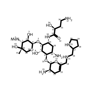 CN[C@@H]1[C@@H](O)[C@@H](O[C@@H]2[C@@H](O)[C@H](O[C@H]3OC(CNCC4CCCN4)=CC[C@H]3N)[C@@H](N)C[C@H]2NC(=O)[C@@H](O)CCN)OC[C@]1(C)O